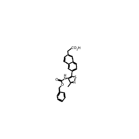 Cc1nsc(-c2ccc3cc(CC(=O)O)ccc3c2)c1NC(=O)OCc1ccccc1